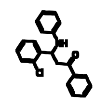 O=C(CC(Nc1ccccc1)c1ccccc1Cl)c1ccccc1